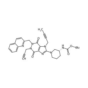 C#CCn1c(=O)c2nc(N3CCC[C@@H](NC(=O)OC(C)(C)C)C3)n(CC#CC)c2c(=O)n1Cc1ccc2ccccc2n1